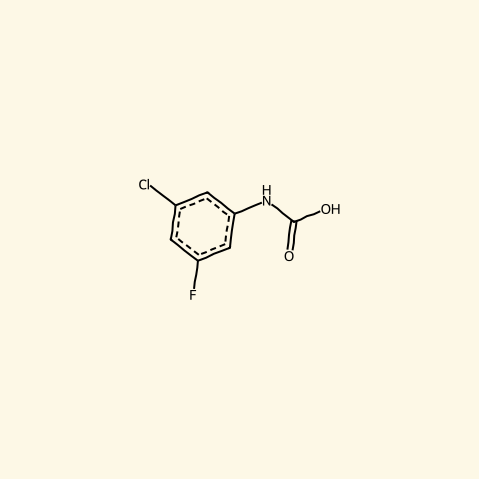 O=C(O)Nc1cc(F)cc(Cl)c1